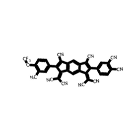 N#CC(C#N)=C1C(c2ccc(C#N)c(C#N)c2)=C(C#N)c2cc3c(cc21)C(=C(C#N)C#N)C(c1ccc(OC(F)(F)F)c(C#N)c1)=C3C#N